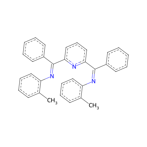 Cc1ccccc1N=C(c1ccccc1)c1cccc(C(=Nc2ccccc2C)c2ccccc2)n1